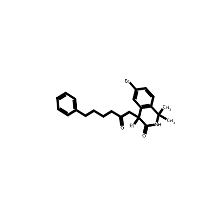 CCC1(CC(=O)CCCCc2ccccc2)C(=O)NC(C)(C)c2ccc(Br)cc21